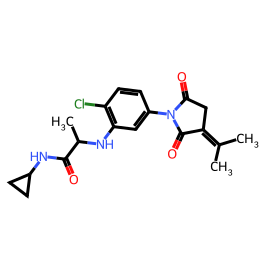 CC(C)=C1CC(=O)N(c2ccc(Cl)c(NC(C)C(=O)NC3CC3)c2)C1=O